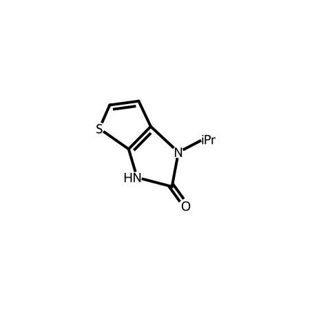 CC(C)n1c(=O)[nH]c2sccc21